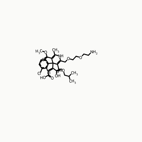 COC(=O)C1=C(C)NC(COCCOCCN)=C(C(=O)OCC(C)C)C1(/C(=C/C(=O)O)C(=O)O)c1cccc(Cl)c1Cl